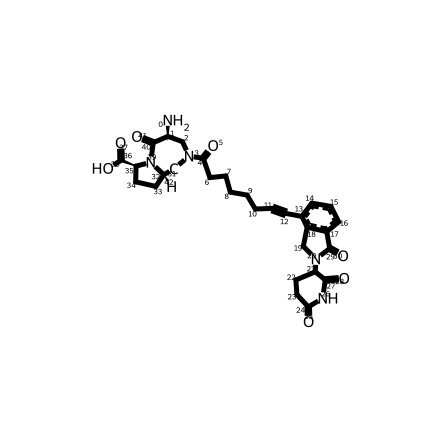 N[C@H]1CN(C(=O)CCCCCC#Cc2cccc3c2CN(C2CCC(=O)NC2=O)C3=O)C[C@H]2CC[C@@H](C(=O)O)N2C1=O